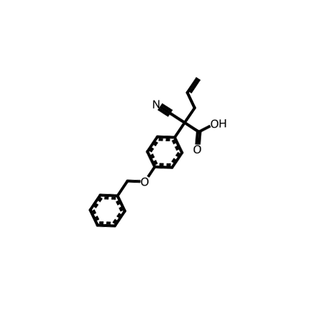 C=CCC(C#N)(C(=O)O)c1ccc(OCc2ccccc2)cc1